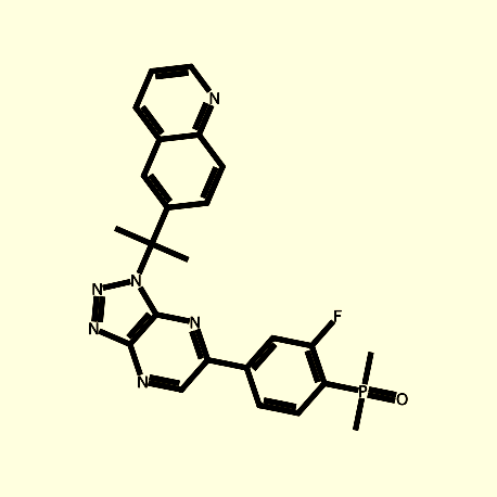 CC(C)(c1ccc2ncccc2c1)n1nnc2ncc(-c3ccc(P(C)(C)=O)c(F)c3)nc21